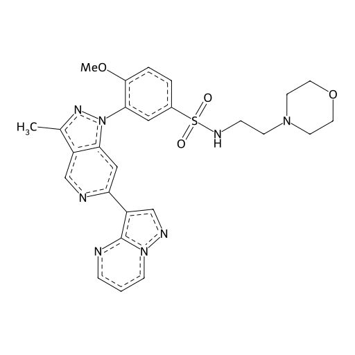 COc1ccc(S(=O)(=O)NCCN2CCOCC2)cc1-n1nc(C)c2cnc(-c3cnn4cccnc34)cc21